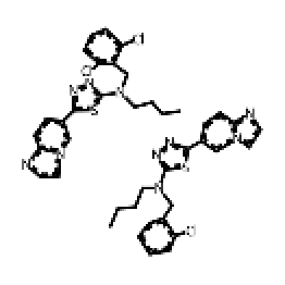 CCCCN(Cc1c(Cl)cccc1Cl)c1nnc(-c2ccc3nccn3c2)s1.CCCCN(Cc1ccccc1Cl)c1nnc(-c2ccc3nccn3c2)s1